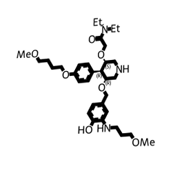 CCN(CC)C(=O)CO[C@@H]1CNC[C@H](OCc2ccc(O)c(NCCCOC)c2)[C@H]1c1ccc(OCCCCOC)cc1